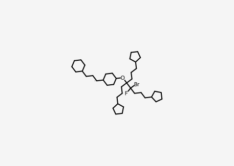 FC(Br)(CCCC1CCCC1)C(CCCC1CCCC1)(CCCC1CCCC1)OC1CCC([CH]CCC2CCCCC2)CC1